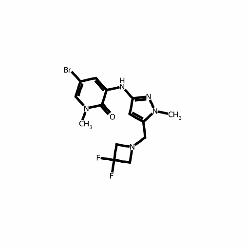 Cn1nc(Nc2cc(Br)cn(C)c2=O)cc1CN1CC(F)(F)C1